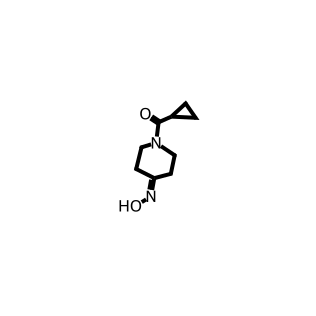 O=C(C1CC1)N1CCC(=NO)CC1